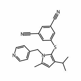 Cc1cc(C(C)C)c(Sc2cc(C#N)cc(C#N)c2)n1Cc1ccncc1